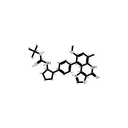 COc1cc(C)c2[nH]c(=O)c3scnc3c2c1-c1ccc(C2CCCC2NC(=O)OC(C)(C)C)cc1